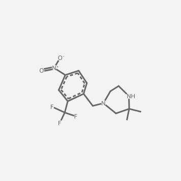 CC1(C)CN(Cc2ccc([N+](=O)[O-])cc2C(F)(F)F)CCN1